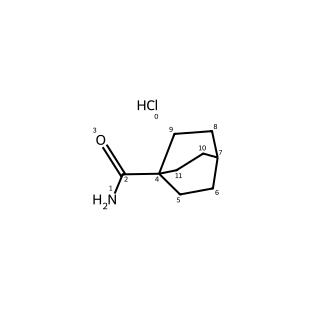 Cl.NC(=O)C12CCC(CC1)CC2